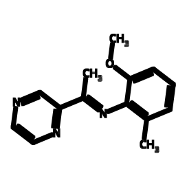 COc1cccc(C)c1N=C(C)c1cnccn1